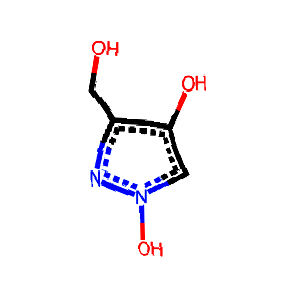 OCc1nn(O)cc1O